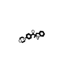 CN(C)C(C)(Cc1ccccc1)C(=O)c1ccc(N2CCOCC2)cc1